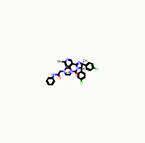 CCOc1cc(C(C)(C)C)ncc1C1=N[C@@](C)(c2ccc(Cl)cc2)[C@@](C)(c2ccc(Cl)cc2)N1C(=O)N1CCN(CC(=O)Nc2ccccc2)CC1